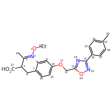 CCON=C(C)C(Cc1ccc(OCc2nc(-c3ccc(C)cc3)no2)cc1)C(=O)O